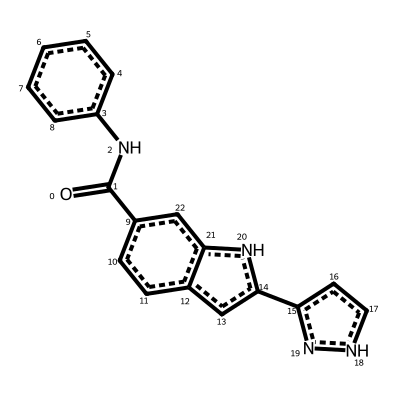 O=C(Nc1ccccc1)c1ccc2cc(-c3cc[nH]n3)[nH]c2c1